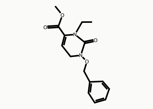 CCN1C(=O)N(OCc2ccccc2)CC=C1C(=O)OC